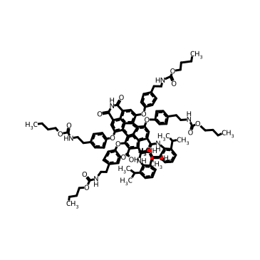 CCCCOC(=O)NCCc1ccc(Oc2cc3c4c(cc(Oc5ccc(CCNC(=O)OCCCC)cc5)c5c6c(Oc7ccc(CCNC(=O)OCCCC)cc7)c(C(=O)O)c(C(=N)Nc7c(C(C)C)cccc7C(C)C)c7c(C(=O)Nc8c(C(C)C)cccc8C(C)C)cc(Oc8ccc(CCNC(=O)OCCCC)cc8)c(c2c45)c76)C(=O)NC3=O)cc1